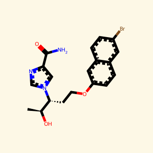 C[C@H](O)[C@@H](CCOc1ccc2cc(Br)ccc2c1)n1cnc(C(N)=O)c1